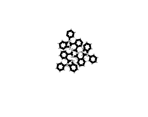 c1ccc(-n2c(-c3ccccc3-c3nc(-c4ccccc4-c4nc5ccccc5n4-c4ccccc4)nc(-c4ccccc4-c4nc5ccccc5n4-c4ccccc4)n3)nc3ccccc32)cc1